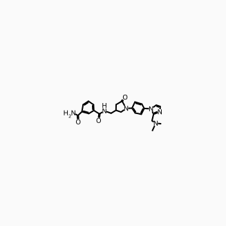 CN(C)Cc1nccn1-c1ccc(N2CC(CNC(=O)c3cccc(C(N)=O)c3)CC2=O)cc1